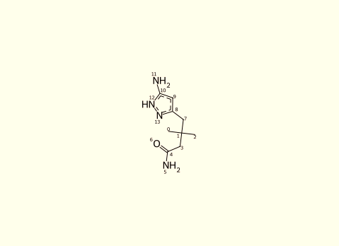 CC(C)(CC(N)=O)Cc1cc(N)[nH]n1